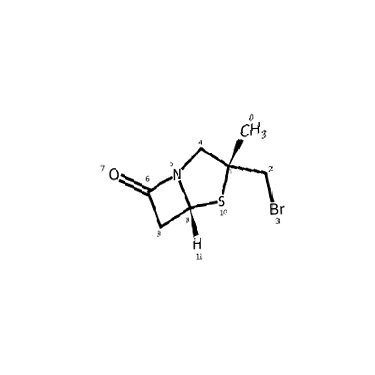 C[C@]1(CBr)CN2C(=O)C[C@H]2S1